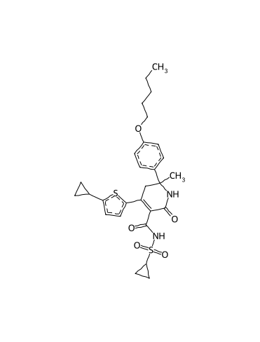 CCCCCOc1ccc(C2(C)CC(c3ccc(C4CC4)s3)=C(C(=O)NS(=O)(=O)C3CC3)C(=O)N2)cc1